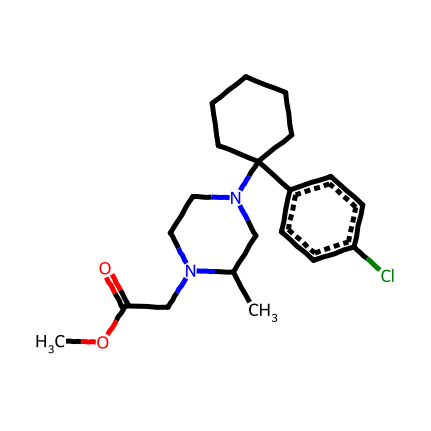 COC(=O)CN1CCN(C2(c3ccc(Cl)cc3)CCCCC2)CC1C